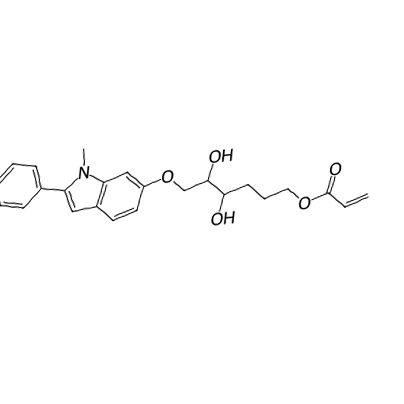 C=CC(=O)OCCCC(O)C(O)COc1ccc2cc(-c3ccccc3)n(C)c2c1